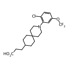 O=C(O)CCC1CCC2(CC1)CCN(c1cc(OC(F)(F)F)ccc1Cl)CC2